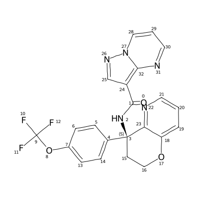 O=C(N[C@]1(c2ccc(OC(F)(F)F)cc2)CCOc2cccnc21)c1cnn2cccnc12